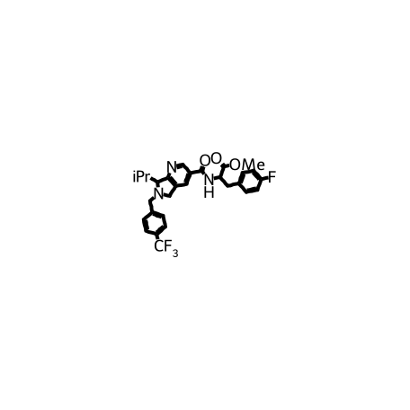 COC(=O)C(Cc1ccc(F)cc1)NC(=O)c1cnc2c(c1)CN(Cc1ccc(C(F)(F)F)cc1)C2C(C)C